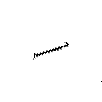 FC(F)(F)C(F)(F)CCCCCCCCCCCCCCCCCOC1CCCO1